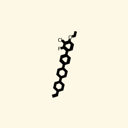 C=CC1CCC(C2CCC(c3ccc(-c4ccc(OCC)c(Cl)c4F)cc3)CC2)CC1